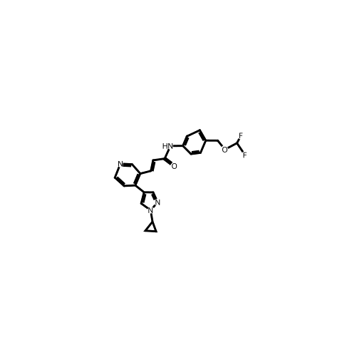 O=C(C=Cc1cnccc1-c1cnn(C2CC2)c1)Nc1ccc(COC(F)F)cc1